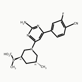 C[C@@H]1C[C@@H](N(C)C(=O)O)CN(c2cc(-c3ccc(C#N)c(F)c3)nc(N)n2)C1